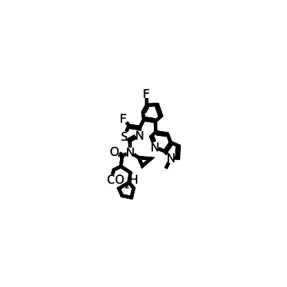 Cn1ccc2cc(-c3ccc(F)cc3-c3nc(N(C(=O)C(CC(=O)O)CC4CCCC4)C4CC4)sc3F)cnc21